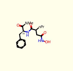 CCCC(CC(=O)NO)C(=O)N[C@@H](Cc1ccccc1)C(=O)NC